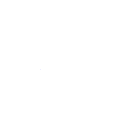 N=c1cc2oc3cc(N)c4ccccc4c3cc-2c2ccccc12